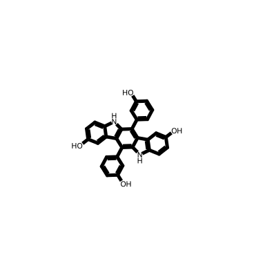 Oc1cccc(-c2c3[nH]c4ccc(O)cc4c3c(-c3cccc(O)c3)c3[nH]c4ccc(O)cc4c23)c1